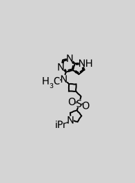 CC(C)N1CCC(S(=O)(=O)CC2CC(N(C)c3ncnc4[nH]ccc34)C2)C1